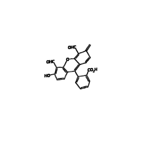 C=c1ccc2c(c1C=O)Oc1c(ccc(O)c1C=O)C=2c1ccccc1C(=O)O